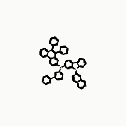 c1ccc(-c2cccc(N(c3ccc4c(c3)c(-c3ccccc3)c(-c3ccccc3)c3ccccc34)c3ccc4c5ccccc5n(-c5ccc6ccccc6c5)c4c3)c2)cc1